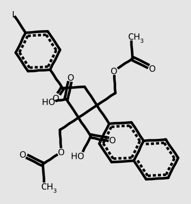 CC(=O)OCC(C(=O)O)(C(=O)O)C(COC(C)=O)(CC(=O)c1ccc(I)cc1)c1ccc2ccccc2c1